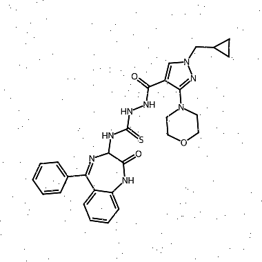 O=C(NNC(=S)NC1N=C(c2ccccc2)c2ccccc2NC1=O)c1cn(CC2CC2)nc1N1CCOCC1